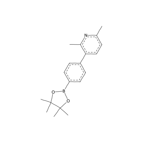 Cc1ccc(-c2ccc(B3OC(C)(C)C(C)(C)O3)cc2)c(C)n1